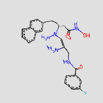 N/C(=C\N(N)[C@@H](CC(=O)NO)Cc1ccc2ccccc2c1)CNC(=O)c1cccc(F)c1